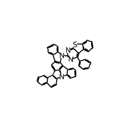 c1ccc(-c2nc(-n3c4ccccc4c4cc5c6c7ccccc7ccc6n6c7ccccc7c(c43)c56)nc3sc4ccccc4c23)cc1